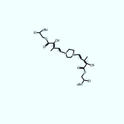 CCCCC(CC)COC(=O)/C(C#N)=C(C)\C=C\N1CCN(/C=C/C(C)=C(\C#N)C(=O)OCC(CC)CCCC)CC1